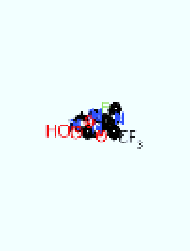 C[C@@H]1CN([C@@H](C)CO)C(=O)c2cccc(NC(=O)Cc3ccc(C(F)(F)F)cc3)c2O[C@@H]1CN(C)Cc1ccc(CN(C)c2cccc(F)c2)cc1